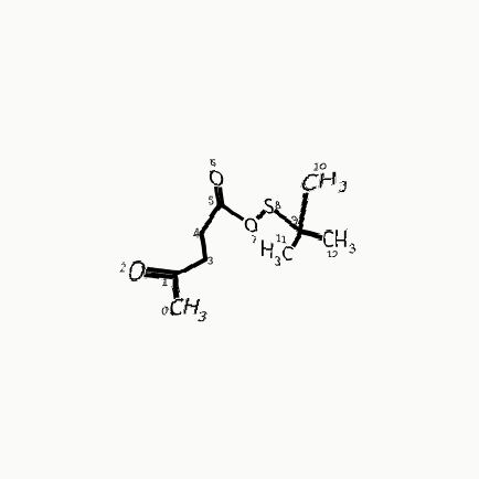 CC(=O)CCC(=O)OSC(C)(C)C